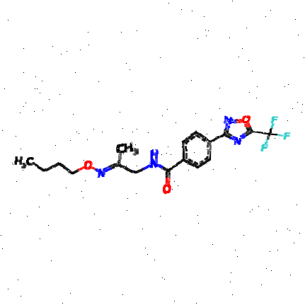 CCCCO/N=C(\C)CNC(=O)c1ccc(-c2noc(C(F)(F)F)n2)cc1